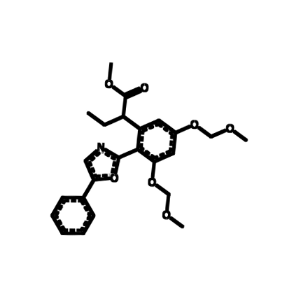 CCC(C(=O)OC)c1cc(OCOC)cc(OCOC)c1-c1ncc(-c2ccccc2)o1